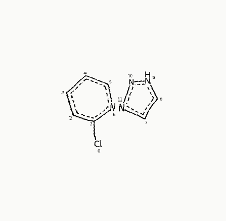 Clc1ccccn1.c1c[nH]nn1